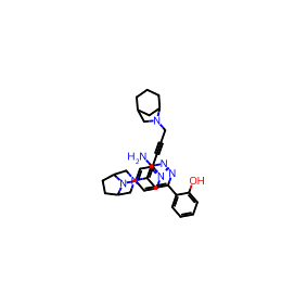 Nc1nnc(-c2ccccc2O)cc1N1CC2CCC(C1)N2c1ccnc(C#CCN2CC3CCCC2C3)c1